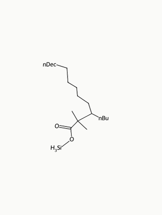 CCCCCCCCCCCCCCCC(CCCC)C(C)(C)C(=O)O[SiH3]